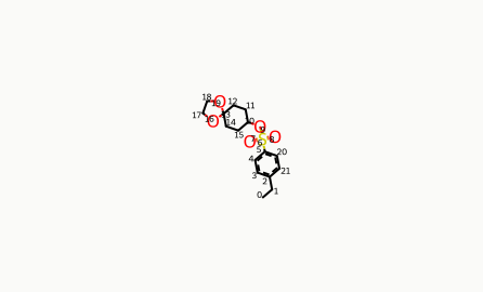 CCc1ccc(S(=O)(=O)OC2CCC3(CC2)OCCO3)cc1